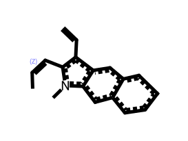 C=Cc1c(/C=C\C)n(C)c2cc3ccccc3cc12